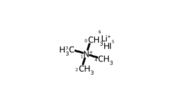 C[N+](C)(C)C.I.[Li+]